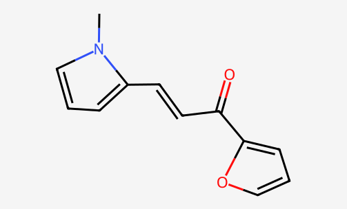 Cn1cccc1C=CC(=O)c1ccco1